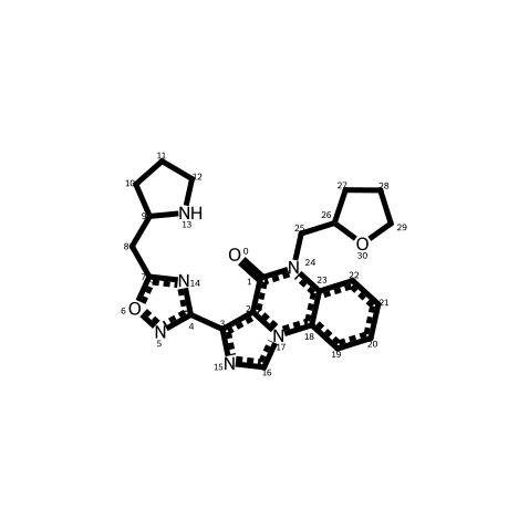 O=c1c2c(-c3noc(CC4CCCN4)n3)ncn2c2ccccc2n1CC1CCCO1